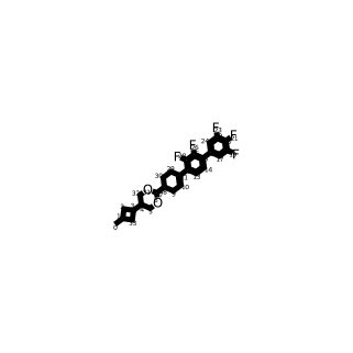 CC1CC(C2COC(C3CC=C(c4ccc(-c5cc(F)c(F)c(F)c5)c(F)c4F)CC3)OC2)C1